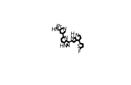 CC(C)Nc1cncc(-c2ccc3[nH]nc(-c4cc5c(-c6ccc(F)s6)ccnc5[nH]4)c3n2)c1